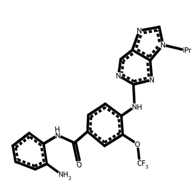 CC(C)n1cnc2cnc(Nc3ccc(C(=O)Nc4ccccc4N)cc3OC(F)(F)F)nc21